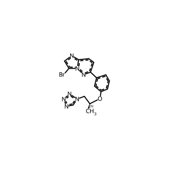 C[C@@H](Cn1cnnn1)Oc1cccc(-c2ccc3ncc(Br)n3n2)c1